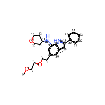 COCCOCCc1cc(NC2CCOCC2)c2[nH]c(-c3ccccc3)cc2c1